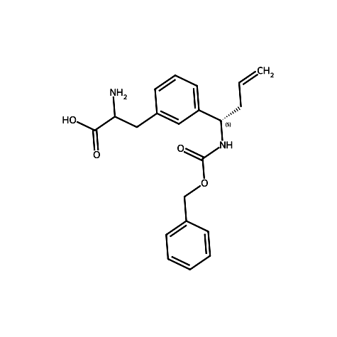 C=CC[C@H](NC(=O)OCc1ccccc1)c1cccc(CC(N)C(=O)O)c1